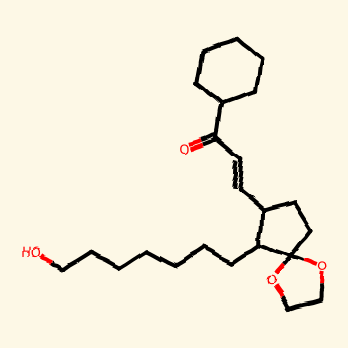 O=C(C=CC1CCC2(OCCO2)C1CCCCCCCO)C1CCCCC1